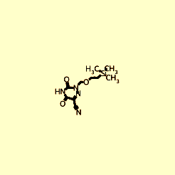 C[Si](C)(C)CCOCn1nc(C#N)c(=O)[nH]c1=O